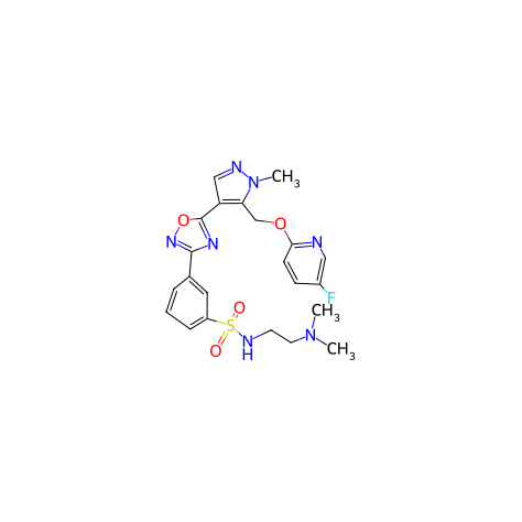 CN(C)CCNS(=O)(=O)c1cccc(-c2noc(-c3cnn(C)c3COc3ccc(F)cn3)n2)c1